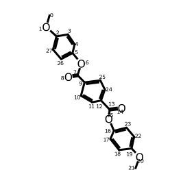 COc1ccc(OC(=O)c2ccc(C(=O)Oc3ccc(OC)cc3)cc2)cc1